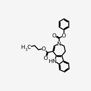 CCCOC(=O)C1=CN(C(=O)Oc2ccccc2)CCc2c1[nH]c1ccccc21